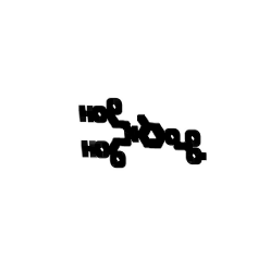 COC(=O)COc1ccc(N(CCC(=O)O)CCC(=O)O)c(C)c1